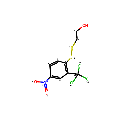 O=[N+]([O-])c1ccc(SSCCO)c(C(Cl)(Cl)Cl)c1